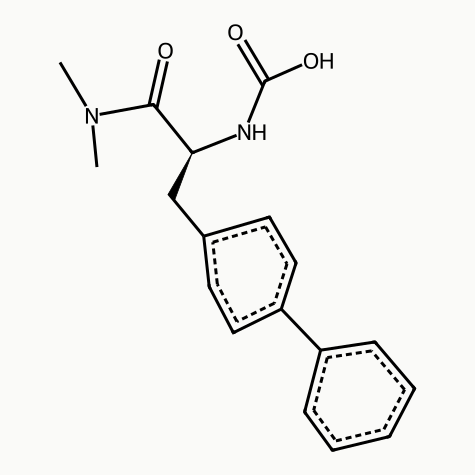 CN(C)C(=O)[C@H](Cc1ccc(-c2ccccc2)cc1)NC(=O)O